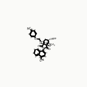 CO[C@H]1C[C@@]2(CCOc3ccc(C#N)cc3)O[C@]1(C)[C@@H]1C(=O)N(c3ccc(C#N)c4ccccc34)C(=O)[C@@H]12